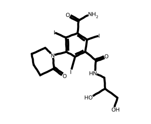 NC(=O)c1c(I)c(C(=O)NCC(O)CO)c(I)c(N2CCCCC2=O)c1I